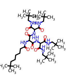 CC(C)(C)CCCCCC(=O)NC(C(=O)NC(C(=O)NCC(C)(C)C)C(=O)NCC(C)(C)C)C(=O)NC(C(=O)NCC(C)(C)C)C(=O)NCC(C)(C)C